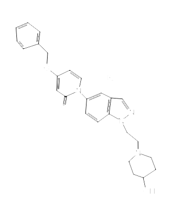 Cl.O=c1cc(OCc2ccccc2)ccn1-c1ccc2c(cnn2CCN2CCC(O)CC2)c1